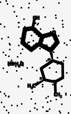 Br.C[C@@H]1C[C@H](c2coc3c(O)cccc23)CCN1C.O